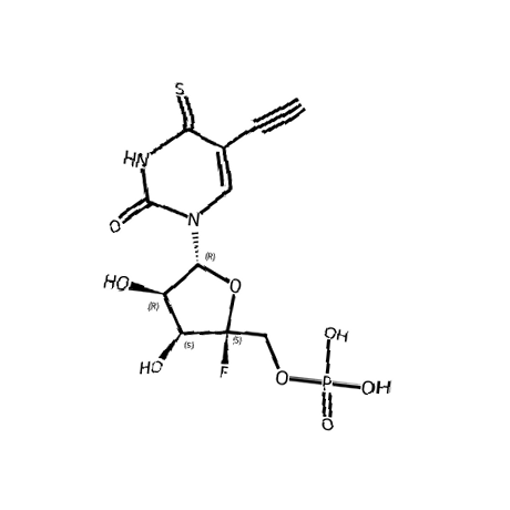 C#Cc1cn([C@@H]2O[C@](F)(COP(=O)(O)O)[C@@H](O)[C@H]2O)c(=O)[nH]c1=S